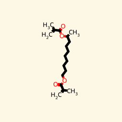 C=C(C)C(=O)OCCCCCCCCC(C)OC(=O)C(=C)C